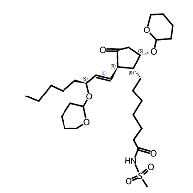 CCCCC[C@@H](/C=C/[C@H]1C(=O)C[C@H](OC2CCCCO2)[C@@H]1CCCCCCC(=O)NS(C)(=O)=O)OC1CCCCO1